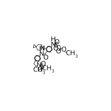 CCOC(=O)CS(=O)(=O)Nc1ccc(C(=O)Nc2ccc3c(c2)N(S(C)(=O)=O)C(C)C3)c(N2CCC3(CC2)CC3)c1